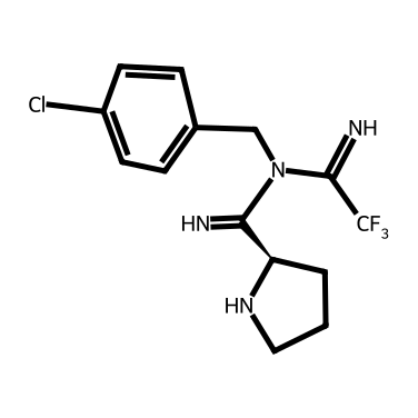 N=C([C@H]1CCCN1)N(Cc1ccc(Cl)cc1)C(=N)C(F)(F)F